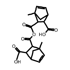 CC12C=CC(C1)C(C(=O)O)C2C(=O)OC(=O)C1C(C(=O)O)C2C=CC1(C)C2